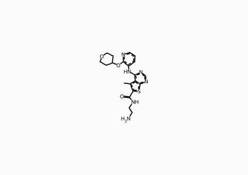 Cc1c(C(=O)NCCN)sc2ncnc(Nc3cccnc3OC3CCOCC3)c12